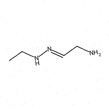 CCN/N=C/CN